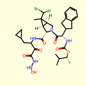 CC(C)[C@@H](C)OC(=O)N[C@H](C(=O)N1C[C@H]2[C@@H]([C@H]1C(=O)NC(CC1CC1)C(=O)C(=O)NNO)C2(C)C(Br)Br)C1Cc2ccccc2C1